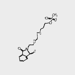 CS(=O)(=O)OCCCOCCOCCN1C(=O)c2ccccc2C1=O